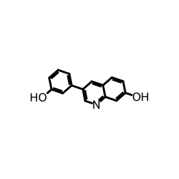 Oc1cccc(-c2cnc3cc(O)ccc3c2)c1